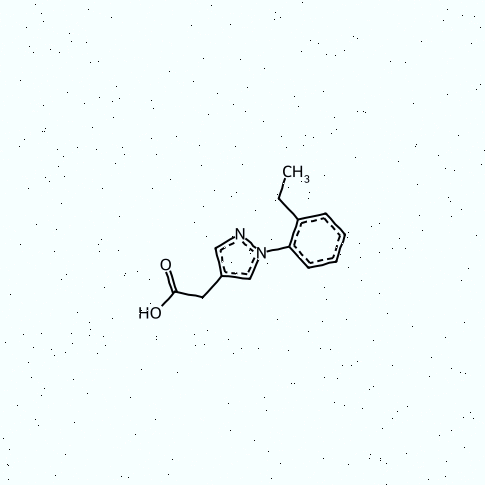 CCc1ccccc1-n1cc(CC(=O)O)cn1